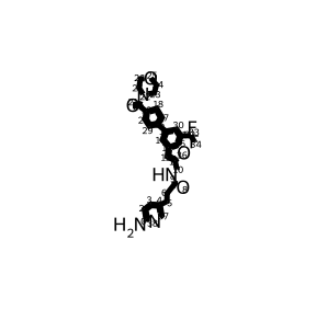 Nc1ccc(CCC(=O)NCc2cc3cc(-c4ccc(C(=O)N5CCOCC5)cc4)cc(C(F)F)c3o2)cn1